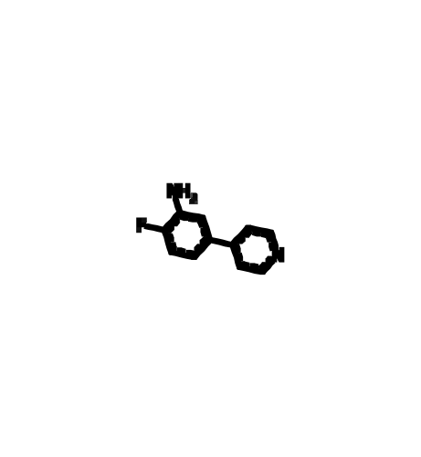 Nc1cc(-c2ccncc2)ccc1F